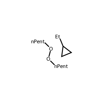 CCC1CC1.CCCCCOOCCCCC